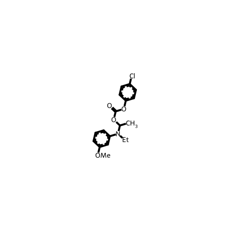 CCN(c1cccc(OC)c1)C(C)OC(=O)Oc1ccc(Cl)cc1